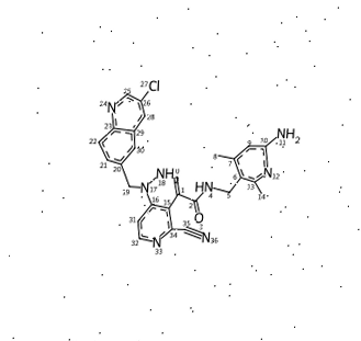 C=C(C(=O)NCc1c(C)cc(N)nc1C)c1c(N(N)Cc2ccc3ncc(Cl)cc3c2)ccnc1C#N